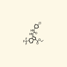 CCOC(=O)c1cn(NC(=O)Nc2ccc(Cl)cc2)c2cc(C(F)(F)F)ccc12